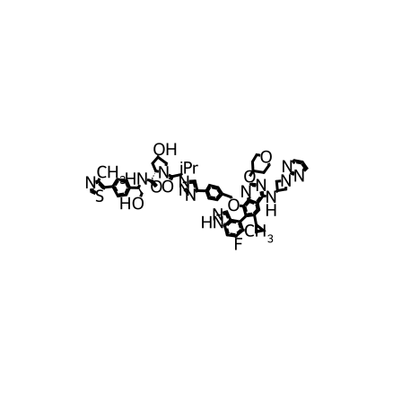 Cc1ncsc1-c1ccc([C@H](CO)NC(=O)[C@@H]2C[C@@H](O)CN2C(=O)[C@H](C(C)C)n2cc(-c3ccc(COc4c(-c5c(C)c(F)cc6[nH]ncc56)c(C5CC5)cc5c(NC6CN(c7ncccn7)C6)nc(OC6CCOCC6)nc45)cc3)nn2)cc1